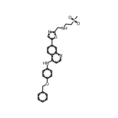 CS(=O)(=O)CCNCc1ncc(-c2ccc3c(Nc4ccc(OCc5ccccc5)cc4)ccnc3c2)s1